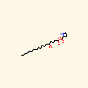 CCCCCCCCCCCCCC(=O)CCCC(=O)OC(=O)C1CCCN1